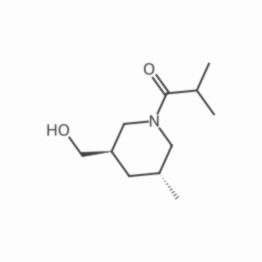 CC(C)C(=O)N1C[C@H](C)C[C@@H](CO)C1